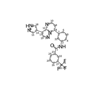 O=C(Nc1cccc(-c2ccnc3c(-c4cn[nH]c4)cnn23)c1)c1cccc(C(F)(F)F)c1